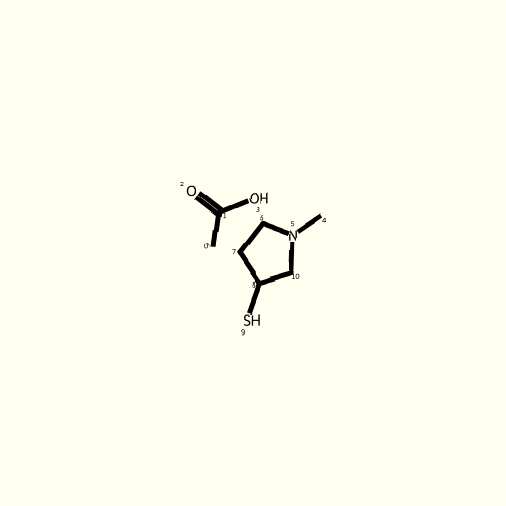 CC(=O)O.CN1CCC(S)C1